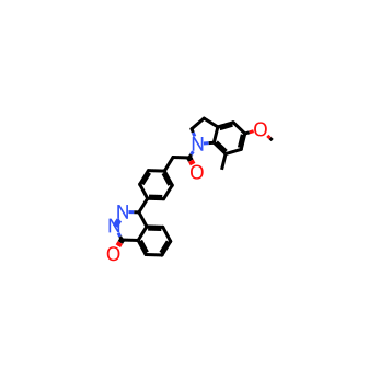 COc1cc(C)c2c(c1)CCN2C(=O)Cc1ccc(C2N=NC(=O)c3ccccc32)cc1